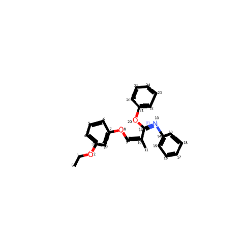 CCOc1cccc(OC=C(C)/C(=N\c2ccccc2)Oc2ccccc2)c1